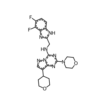 Fc1ccc2[nH]c(CNc3nc(N4CCOCC4)nc4c(C5CCOCC5)cnn34)nc2c1F